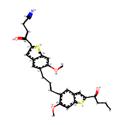 CCCC(=O)c1cc2cc(CCCc3cc4cc(C(=O)CCC#N)sc4cc3OC)c(OC)cc2s1